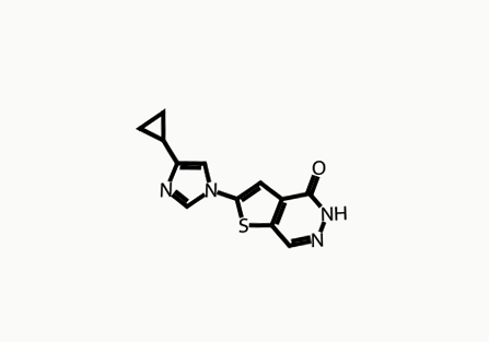 O=c1[nH]ncc2sc(-n3cnc(C4CC4)c3)cc12